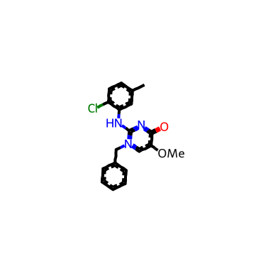 COc1cn(Cc2ccccc2)c(Nc2cc(C)ccc2Cl)nc1=O